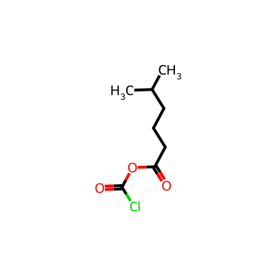 CC(C)CCCC(=O)OC(=O)Cl